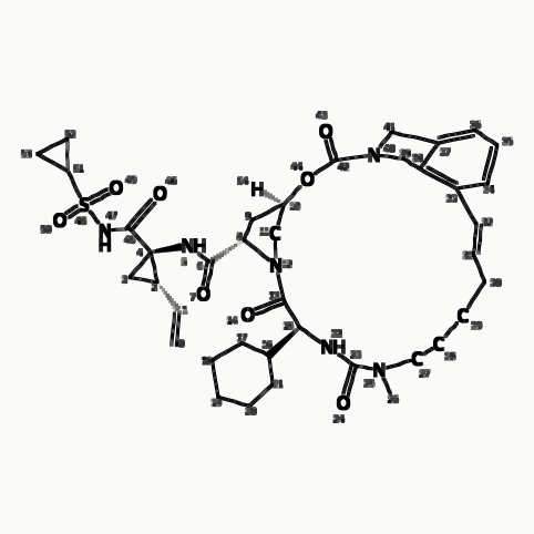 C=C[C@@H]1C[C@]1(NC(=O)[C@@H]1C[C@@H]2CN1C(=O)[C@H](C1CCCCC1)NC(=O)N(C)CCCC/C=C/c1cccc3c1CN(C3)C(=O)O2)C(=O)NS(=O)(=O)C1CC1